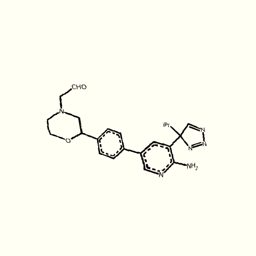 CC(C)C1(c2cc(-c3ccc(C4CN(CC=O)CCO4)cc3)cnc2N)C=NN=N1